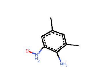 Cc1cc(C)c(N)c([NH2+][O-])c1